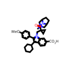 COc1ccc(-c2c(C3CCCCC3)c3ccc(C(=O)O)cc3n2CC2(C(=O)N3C4CCC3CN(C)C4)CC2)cc1